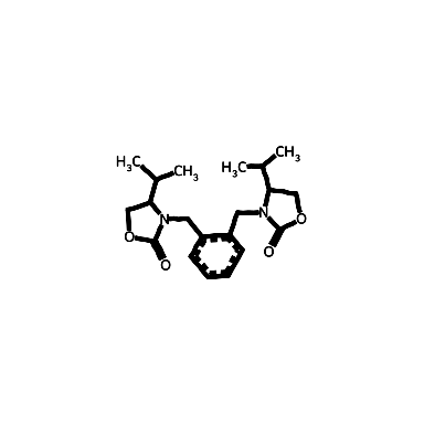 CC(C)C1COC(=O)N1Cc1ccccc1CN1C(=O)OCC1C(C)C